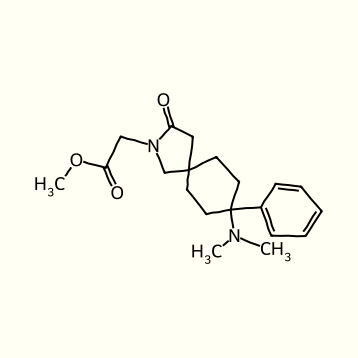 COC(=O)CN1CC2(CCC(c3ccccc3)(N(C)C)CC2)CC1=O